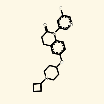 O=C1CCc2cc(OC3CCN(C4CCC4)CC3)ccc2N1c1cncc(F)c1